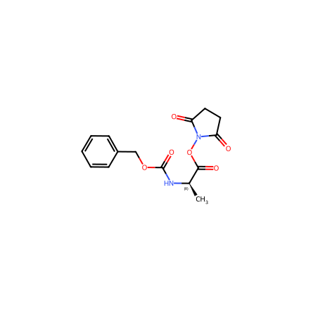 C[C@@H](NC(=O)OCc1ccccc1)C(=O)ON1C(=O)CCC1=O